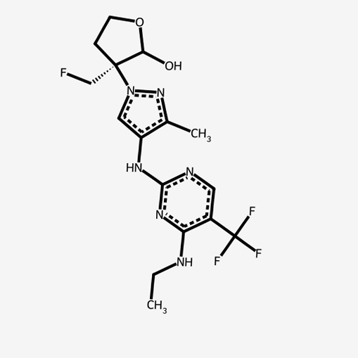 CCNc1nc(Nc2cn([C@@]3(CF)CCOC3O)nc2C)ncc1C(F)(F)F